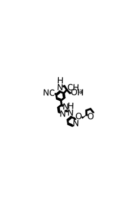 C[C@]1(CO)CNc2c(C#N)cc(-c3ccnc(Nc4cccnc4OC[C@H]4CCCO4)n3)cc21